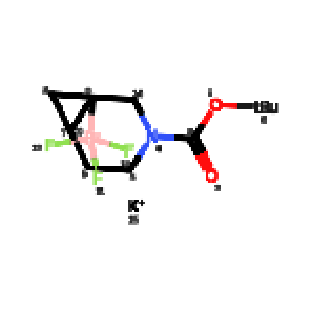 CC(C)(C)OC(=O)N1CCC2CC2([B-](F)(F)F)C1.[K+]